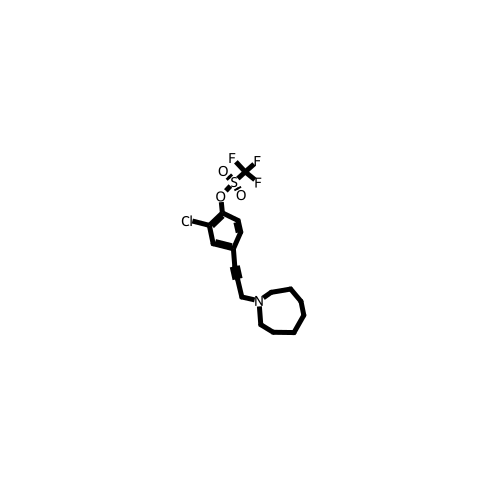 O=S(=O)(Oc1ccc(C#CCN2CCCCCCC2)cc1Cl)C(F)(F)F